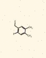 Cc1cc(F)c(CF)cc1C